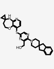 OCc1nc(Sc2ccnc3c2OCCC2(CC2)N3)cnc1N1CCC2(CC1)Cc1ccccc1C2